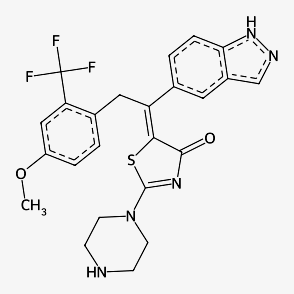 COc1ccc(CC(=C2SC(N3CCNCC3)=NC2=O)c2ccc3[nH]ncc3c2)c(C(F)(F)F)c1